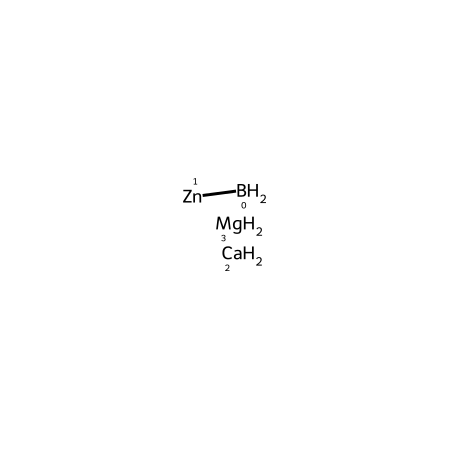 [BH2][Zn].[CaH2].[MgH2]